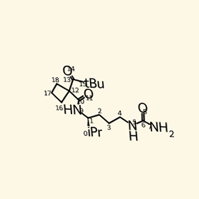 CC(C)[C@H](CCCNC(N)=O)NC(=O)C1(C(=O)C(C)(C)C)CCC1